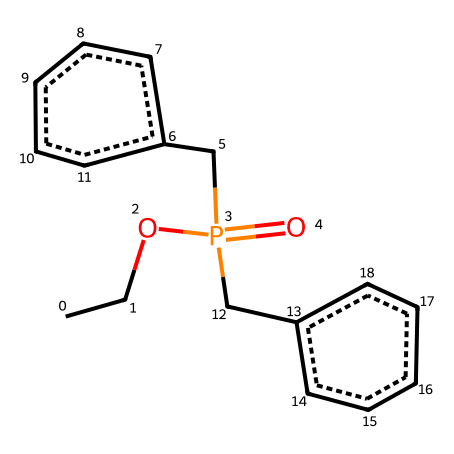 CCOP(=O)(Cc1ccccc1)Cc1ccccc1